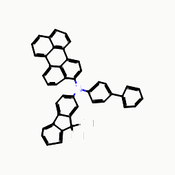 CC1(C)c2ccccc2-c2ccc(N(c3ccc(-c4ccccc4)cc3)c3ccc4c5cccc6cccc(c7cccc3c74)c65)cc21